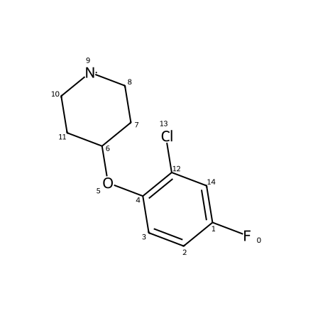 Fc1ccc(OC2CC[N]CC2)c(Cl)c1